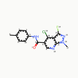 Cc1ccc(NC(=O)c2cnc3c(c(F)nn3C)c2Cl)cc1